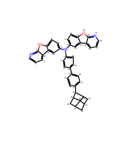 c1cnc2oc3ccc(N(c4ccc(-c5ccc(C6C7CC8CC9CC6C897)cc5)cc4)c4ccc5oc6ncccc6c5c4)cc3c2c1